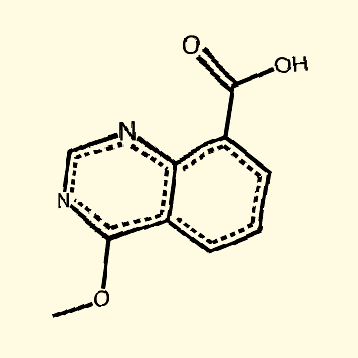 COc1ncnc2c(C(=O)O)cccc12